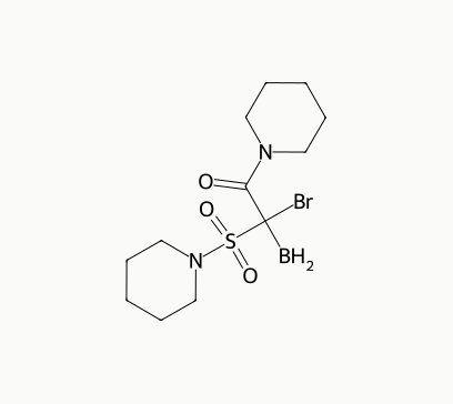 BC(Br)(C(=O)N1CCCCC1)S(=O)(=O)N1CCCCC1